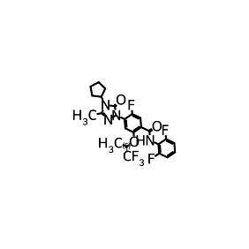 Cc1nn(-c2cc(O[C@@H](C)C(F)(F)F)c(C(=O)Nc3c(F)cccc3F)cc2F)c(=O)n1C1CCCC1